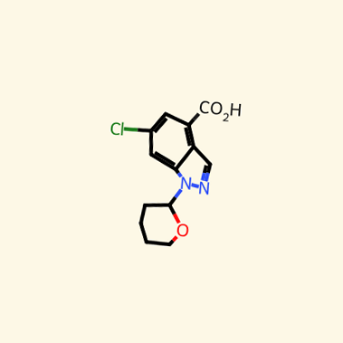 O=C(O)c1cc(Cl)cc2c1cnn2C1CCCCO1